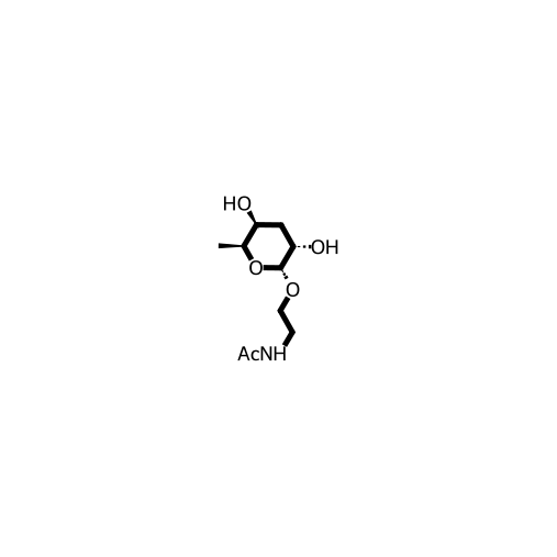 CC(=O)NCCO[C@@H]1O[C@@H](C)[C@@H](O)C[C@@H]1O